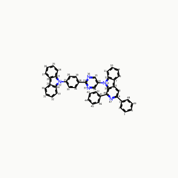 c1ccc(-c2cc3c4ccccc4n(-c4cnc(-c5ccc(-n6c7ccccc7c7ccccc76)cc5)nc4)c3c(-c3ccccc3)n2)cc1